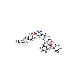 CS(=O)(=O)Nc1ccc(Oc2ccc(CN3CCC(N(C(=O)Oc4ccccc4)c4ccccc4)CC3)cn2)cc1